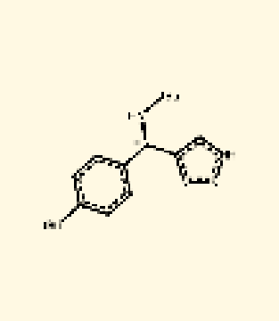 CC(C)(C)N[C@H](c1ccc(C(C)(C)C)cc1)c1c[nH]nn1